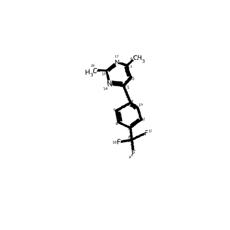 Cc1cc(-c2ccc(C(F)(F)F)cc2)nc(C)n1